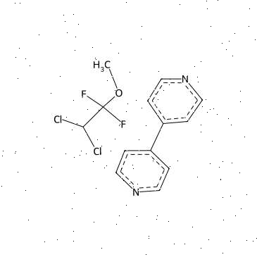 COC(F)(F)C(Cl)Cl.c1cc(-c2ccncc2)ccn1